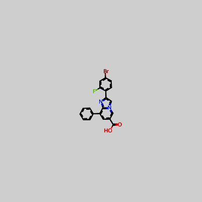 O=C(O)c1cc(-c2ccccc2)c2nc(-c3ccc(Br)cc3F)cn2c1